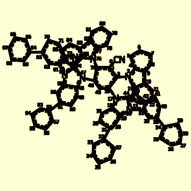 N#Cc1c(-n2c3ccccc3c3ccccc32)c(-n2c3ccc(-c4ccccc4)cc3n3c4cc(-c5ccccc5)ccc4nc23)cc(-n2c3ccc(-c4ccccc4)cc3n3c4cc(-c5ccccc5)ccc4nc23)c1-n1c2ccccc2c2ccccc21